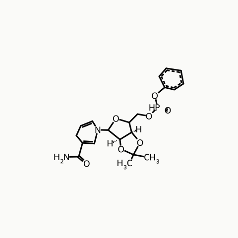 CC1(C)O[C@@H]2C(CO[PH](=O)Oc3ccccc3)OC(N3C=CCC(C(N)=O)=C3)[C@@H]2O1